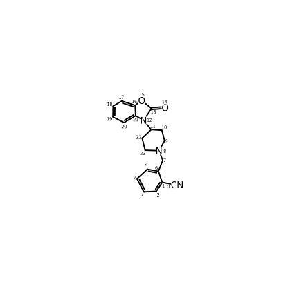 N#Cc1ccccc1CN1CCC(n2c(=O)oc3ccccc32)CC1